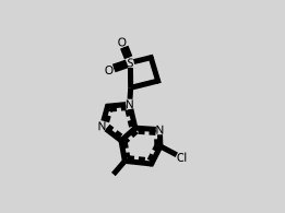 Cc1cc(Cl)nc2c1ncn2C1CCS1(=O)=O